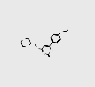 O=c1nc(OC[C@H]2COCCO2)cc(-c2ccc(OCC(F)(F)F)cc2)[nH]1